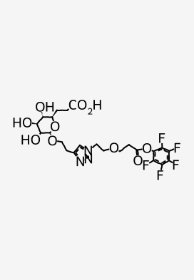 O=C(O)CC[C@H]1O[C@H](OCCc2cn(CCOCCC(=O)Oc3c(F)c(F)c(F)c(F)c3F)nn2)[C@@H](O)[C@@H](O)[C@@H]1O